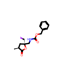 C[C@H]1C[C@@](CI)(CNC(=O)OCc2ccccc2)OC1=O